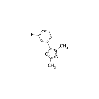 Cc1nc(C)c(-c2cccc(F)c2)o1